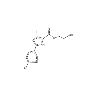 Cc1cc(-c2ccc(Cl)cc2)[nH]c1C(=O)OCCO